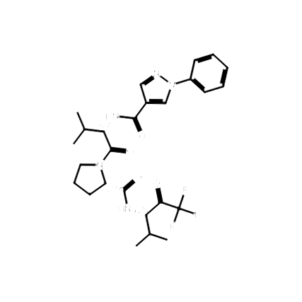 CC(C)[C@H](NC(=O)c1cnn(-c2ccccc2)c1)C(=O)N1CCC[C@H]1C(=O)N[C@H](C(=O)C(F)(F)F)C(C)C